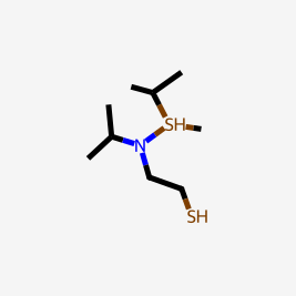 CC(C)N(CCS)[SH](C)C(C)C